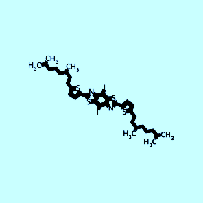 CC(C)CCCC(C)CCc1ccc(-c2nc3c(I)c4sc(-c5ccc(CCC(C)CCCC(C)C)s5)nc4c(I)c3s2)s1